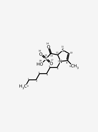 CCCCCCCN1C(C)=CSC1C(=O)S(=O)(=O)O